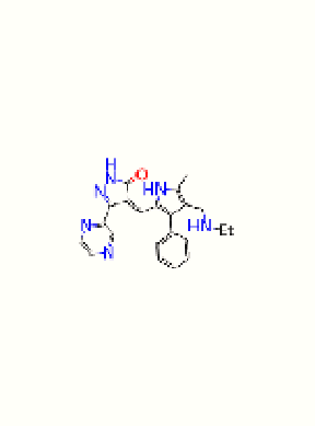 CCNCc1c(C)[nH]c(C=C2C(=O)NN=C2c2cnccn2)c1-c1ccccc1